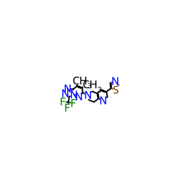 Cc1c(N2CCc3ncc(-c4cncs4)cc3C2)nn2c(C(F)(F)F)nnc2c1C